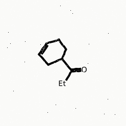 CCC(=O)C1CC=CCC1